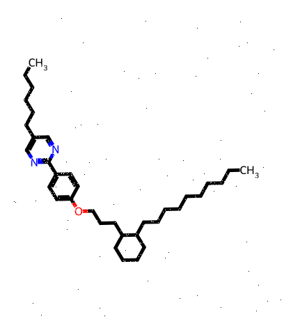 CCCCCCCCCCC1CCCCC1CCCOc1ccc(-c2ncc(CCCCCC)cn2)cc1